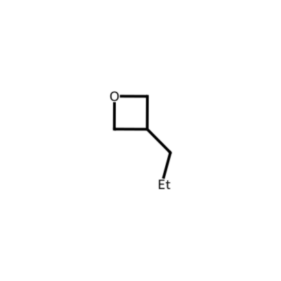 [CH2]CCC1COC1